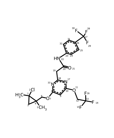 CC1(Cl)CC1(C)COc1cc(OCC(F)(F)F)nc(CC(=O)Nc2ccc(C(F)(F)F)cc2)n1